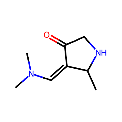 CC1NCC(=O)C1=CN(C)C